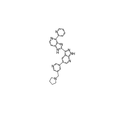 c1ccc(-c2nccc3[nH]c(-c4n[nH]c5ncc(-c6cncc(CN7CCCC7)c6)cc45)nc23)nc1